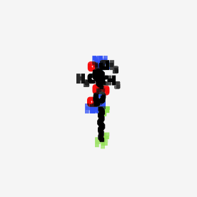 Cc1cc(N(C)C(N)=O)cc(C)c1CCS(=O)(=O)N1CCC2(CC1)N=C(C(F)CCCCCCCC(F)(F)F)NC2=O